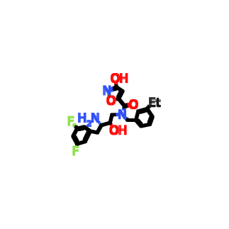 CCc1cccc(CN(C[C@@H](O)[C@@H](N)Cc2cc(F)cc(F)c2)C(=O)c2cc(O)no2)c1